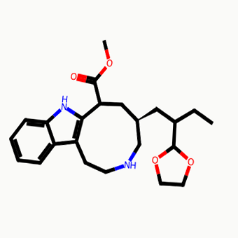 CCC(C[C@H]1CNCCc2c([nH]c3ccccc23)C(C(=O)OC)C1)C1OCCO1